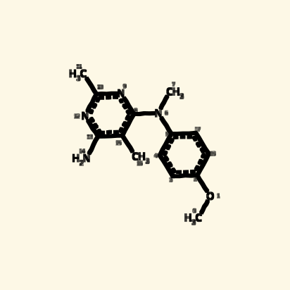 COc1ccc(N(C)c2nc(C)nc(N)c2C)cc1